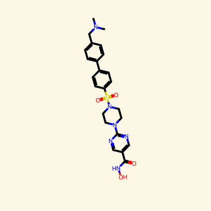 CN(C)Cc1ccc(-c2ccc(S(=O)(=O)N3CCN(c4ncc(C(=O)NO)cn4)CC3)cc2)cc1